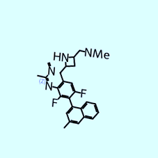 C=N/C(C)=N\c1c(CC2CC(CNC)N2)cc(F)c(-c2cc(C)cc3ccccc23)c1F